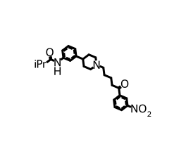 CC(C)C(=O)Nc1cccc(C2CCN(CCCCC(=O)c3cccc([N+](=O)[O-])c3)CC2)c1